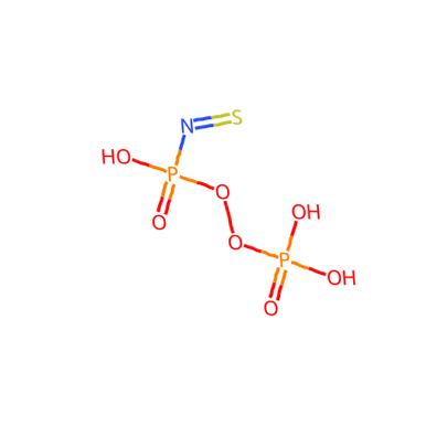 O=P(O)(O)OOP(=O)(O)N=S